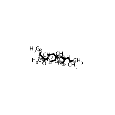 COCC(C)(C)C(=O)N1CCC(C)(n2cc(CC(C)C)cn2)CC1